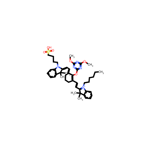 CCCCCC[N+]1=C(/C=C/C2=C(Oc3nc(OC)nc(OC)n3)C(=C/C=C3/N(CCCCS(=O)(=O)O)c4ccccc4C3(C)C)/CCC2)C(C)(C)c2ccccc21